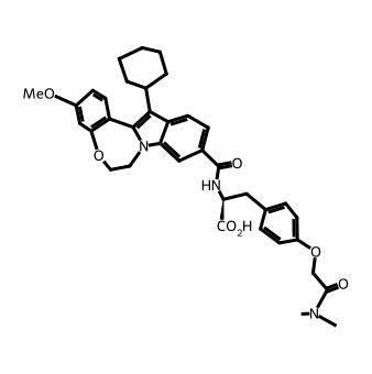 COc1ccc2c(c1)OCCn1c-2c(C2CCCCC2)c2ccc(C(=O)N[C@@H](Cc3ccc(OCC(=O)N(C)C)cc3)C(=O)O)cc21